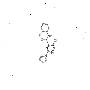 O=C(Nc1ccccc1F)c1nc(-n2ccnc2)ncc1Cl